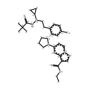 CCOC(=O)c1cnn2ccc(N3CCC[C@@H]3c3cc(F)ccc3CCN(NC(=O)C(C)(C)C)C3CC3)nc12